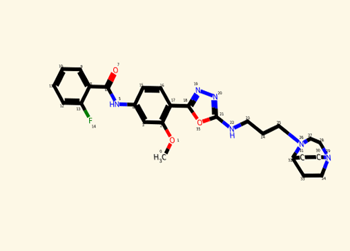 COc1cc(NC(=O)c2ccccc2F)ccc1-c1nnc(NCCCN2CCN3CCC2CC3)o1